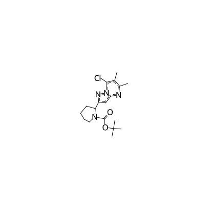 Cc1nc2cc(C3CCCCN3C(=O)OC(C)(C)C)nn2c(Cl)c1C